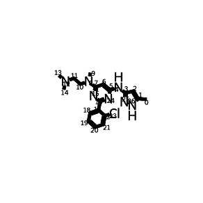 Cc1cc(Nc2cc(N(C)CCN(C)C)nc(-c3ccccc3Cl)n2)n[nH]1